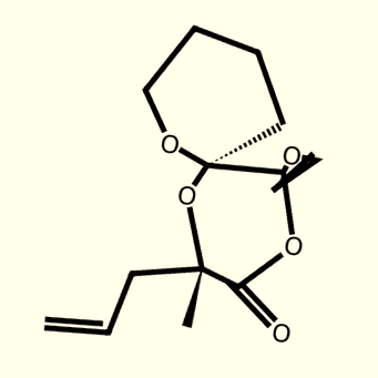 C=CC[C@]1(C)O[C@]2(CCCCO2)[C@@]2(CCCCO2)OC1=O